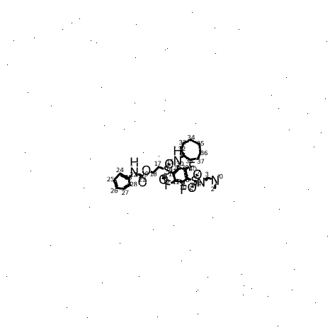 CN(C)C=NS(=O)(=O)c1c(F)c(F)c(S(=O)(=O)CCOC(=O)Nc2ccccc2)c(NC2CCCCCCC2)c1F